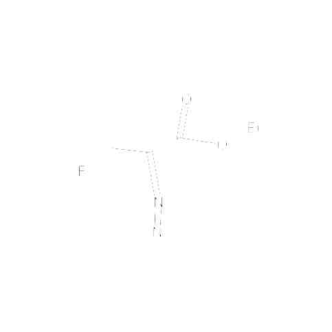 CCOC(=O)C(CF)=[N+]=[N-]